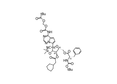 CC(C)(C)OC(=O)N[C@@H](Cc1ccccc1)C(=O)OC[C@H]1O[C@@](C#N)(c2ccc3c(NC(=O)OCOC(=O)C(C)(C)C)ncnn23)C(O[Si](C)(C)C)[C@@H]1OC(=O)CC1CCCCC1